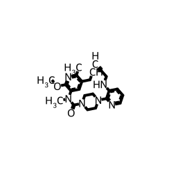 C#CCNc1cccnc1N1CCN(C(=O)N(C)c2cc(CC)c(C)nc2OC)CC1